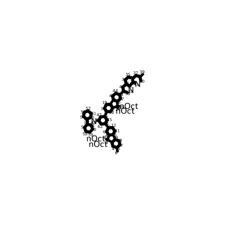 CCCCCCCCC1(CCCCCCCC)c2cc(C)ccc2-c2ccc(-c3cc(-c4ccc5c(c4)C(CCCCCCCC)(CCCCCCCC)c4cc(-c6cnc7c(ccc8cc(C)cnc87)c6)ccc4-5)cc(-n4c5ccccc5c5ccccc54)c3)cc21